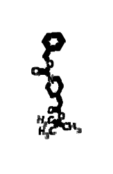 CC(C)(C)OC(=O)C=C1CCN(C(=O)OCc2ccccc2)CC1